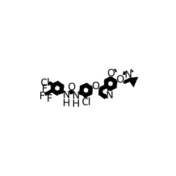 COc1cc2c(Oc3ccc(NC(=O)Nc4ccc(Cl)c(C(F)(F)F)c4)c(Cl)c3)ccnc2cc1OCC1(N(C)C)CC1